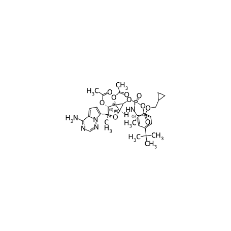 CC(=O)O[C@@H]1[C@@]2(OC(C)=O)C(OP(=O)(N[C@@H](C)C(=O)OCC3CC3)Oc3ccc(C(C)(C)C)cc3)[C@H]2O[C@@]1(C)c1ccc2c(N)ncnn12